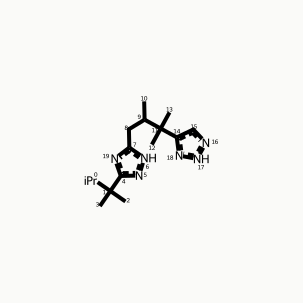 CC(C)C(C)(C)c1n[nH]c(CC(C)C(C)(C)c2cn[nH]n2)n1